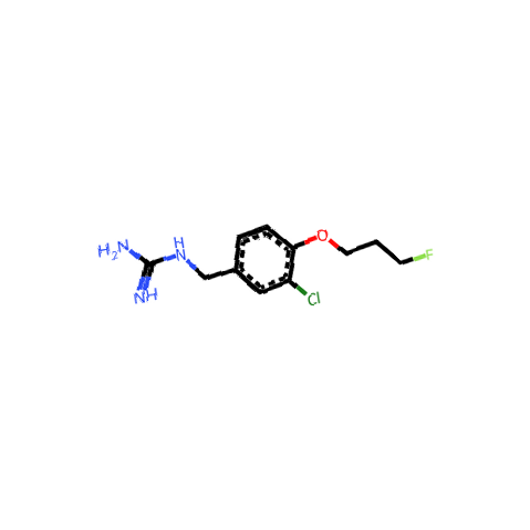 N=C(N)NCc1ccc(OCCCF)c(Cl)c1